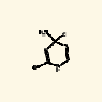 NC1(Cl)N=CNC(Cl)=N1